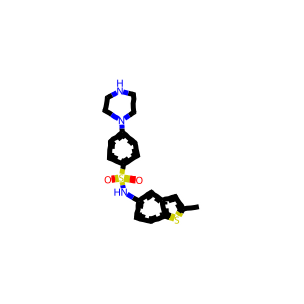 Cc1cc2cc(NS(=O)(=O)c3ccc(N4CCNCC4)cc3)ccc2s1